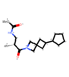 CCC[C@H](CNC(=O)OC)C(=O)N1CC2(CC(C3CCCC3)C2)C1